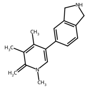 C=C1C(C)=C(C)C(c2ccc3c(c2)CNC3)=CN1C